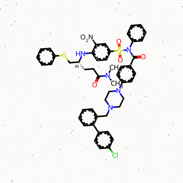 CN(C)C(=O)CC[C@H](CSc1ccccc1)Nc1ccc(S(=O)(=O)N(C(=O)c2ccc(N3CCN(Cc4ccccc4-c4ccc(Cl)cc4)CC3)cc2)c2ccccc2)cc1[N+](=O)[O-]